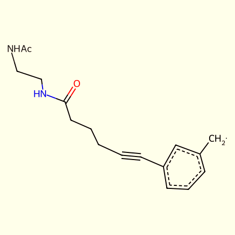 [CH2]c1cccc(C#CCCCC(=O)NCCNC(C)=O)c1